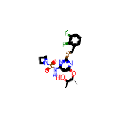 C[C@@H](O)[C@@H](C)Oc1cc(NS(=O)(=O)N2CCC2)nc(SCc2cccc(F)c2F)n1